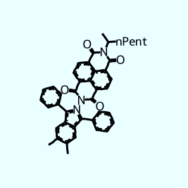 CCCCCC(C)N1C(=O)c2ccc3c4c(ccc(c24)C1=O)C(=O)N(n1c(-c2ccccc2)c2cc(C)c(C)cc2c1-c1ccccc1)C3=O